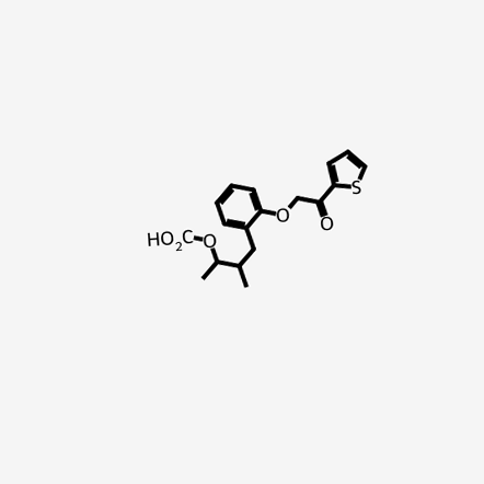 CC(Cc1ccccc1OCC(=O)c1cccs1)C(C)OC(=O)O